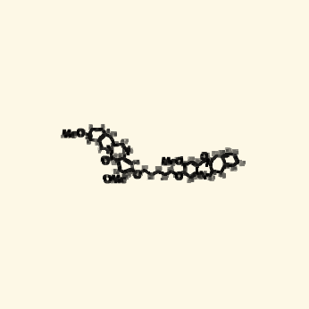 COc1ccc2c(c1)CN1C(=O)c3cc(OC)c(OCCCCCOc4cc5c(cc4OC)C(=O)N4Cc6ccccc6CC4C=N5)cc3N=CC1C2